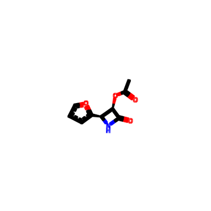 CC(=O)O[C@H]1C(=O)N[C@H]1c1ccco1